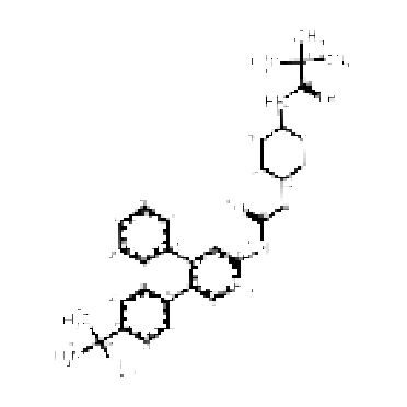 CC(C)(C)C(=O)NC1CCC(CC(=O)Nc2cc(-c3ccccc3)c(-c3ccc(C(C)(C)N)cc3)cn2)CC1